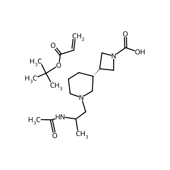 C=CC(=O)OC(C)(C)C.CC(=O)NC(C)CN1CCC[C@H](C2CN(C(=O)O)C2)C1